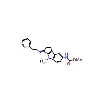 COC(=O)Nc1ccc2c(c1)c1c(n2C)C(=NCCc2ccccc2)CC1